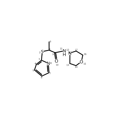 CC(Sc1ccccn1)C(=O)NN1CCOCC1